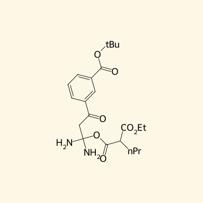 CCCC(C(=O)OCC)C(=O)OC(N)(N)CC(=O)c1cccc(C(=O)OC(C)(C)C)c1